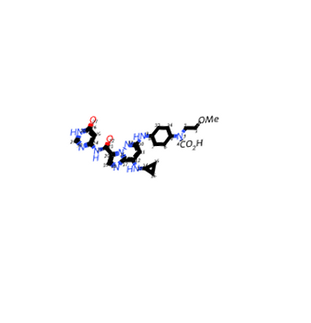 COCCN(C(=O)O)C1CCC(Nc2cc(NC3CC3)c3ncc(C(=O)Nc4cc(=O)[nH]cn4)n3n2)CC1